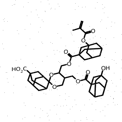 C=C(C)C(=O)OC12CC3CC(C1)CC(C(=O)OCC1OC4(OCC1COC(=O)C15CC6CC(CC(O)(C6)C1)C5)C1CC5CC4CC(C(=O)O)(C5)C1)(C3)C2